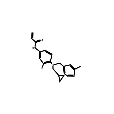 C=CC(=O)Nc1ccc(N(Cc2cccc(F)c2)CC2CC2)c(F)c1